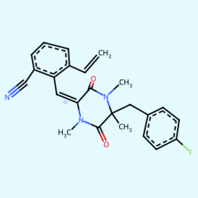 C=Cc1cccc(C#N)c1/C=C1\C(=O)N(C)C(C)(Cc2ccc(F)cc2)C(=O)N1C